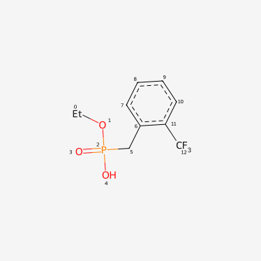 CCOP(=O)(O)Cc1ccccc1C(F)(F)F